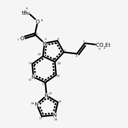 CCOC(=O)/C=C/c1cn(C(=O)OC(C)(C)C)c2cnc(-n3cncn3)cc12